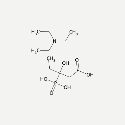 CCC(O)(CC(=O)O)P(=O)(O)O.CCN(CC)CC